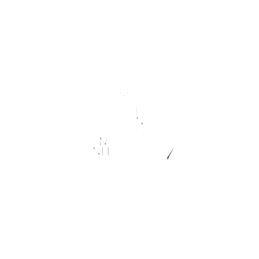 CC[C@@H]1CC(C)(C)c2cccc(NC(=O)C3CCc4ccccc4NN3C(F)F)c21